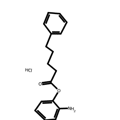 Cl.Nc1ccccc1OC(=O)CCCCc1ccccc1